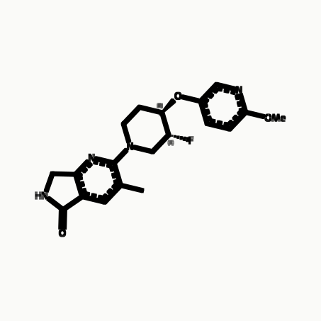 COc1ccc(O[C@@H]2CCN(c3nc4c(cc3C)C(=O)NC4)C[C@H]2F)cn1